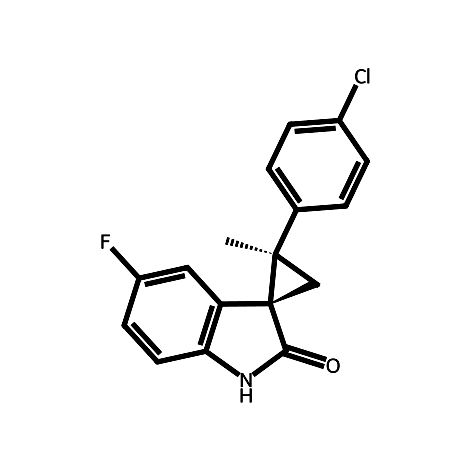 C[C@]1(c2ccc(Cl)cc2)C[C@]12C(=O)Nc1ccc(F)cc12